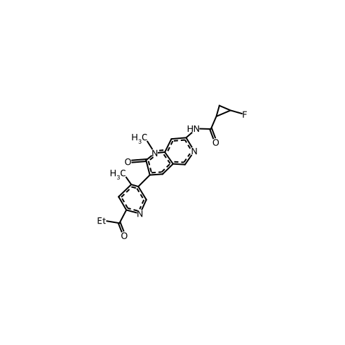 CCC(=O)c1cc(C)c(-c2cc3cnc(NC(=O)C4CC4F)cc3n(C)c2=O)cn1